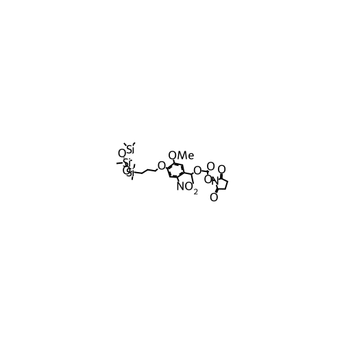 COc1cc(C(C)OC(=O)ON2C(=O)CCC2=O)c([N+](=O)[O-])cc1OCCC[Si](C)(C)O[Si](C)(C)O[Si](C)(C)C